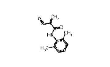 C=C([C]=O)C(=O)Nc1c(C)cccc1C